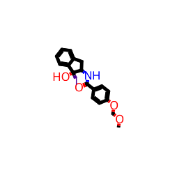 COCOc1ccc(C(=O)NC2Cc3ccccc3C2(O)I)cc1